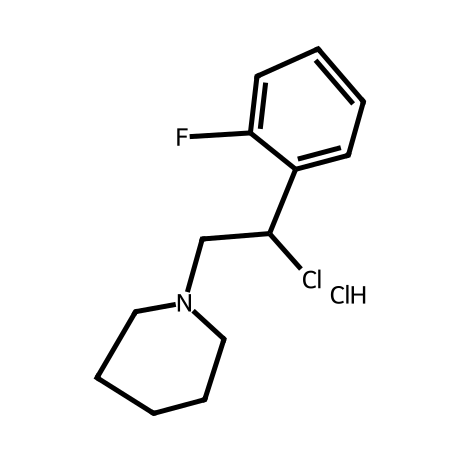 Cl.Fc1ccccc1C(Cl)CN1CCCCC1